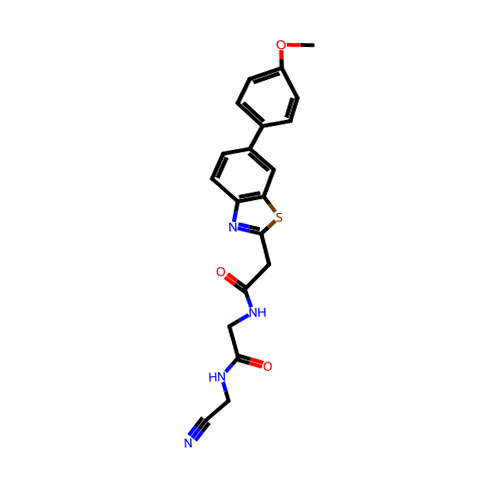 COc1ccc(-c2ccc3nc(CC(=O)NCC(=O)NCC#N)sc3c2)cc1